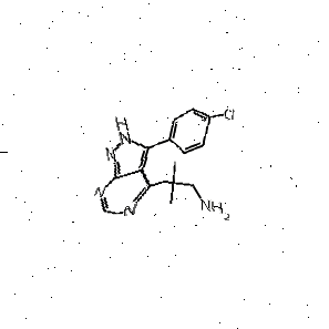 CC(C)(CN)c1ncnc2n[nH]c(-c3ccc(Cl)cc3)c12